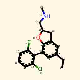 CCc1cc2c(c(-c3c(Cl)cccc3Cl)c1)OC(CNC)C2